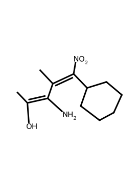 C/C(O)=C(N)\C(C)=C(/C1CCCCC1)[N+](=O)[O-]